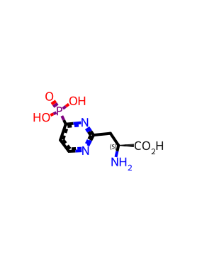 N[C@@H](Cc1nccc(P(=O)(O)O)n1)C(=O)O